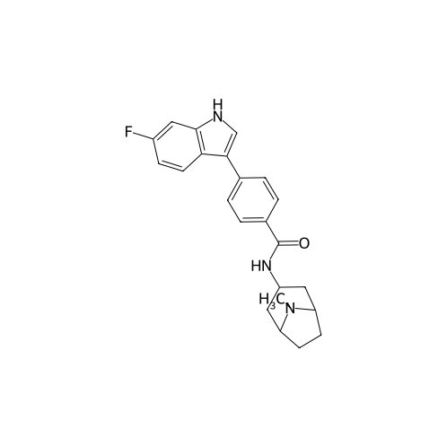 CN1C2CCC1CC(NC(=O)c1ccc(-c3c[nH]c4cc(F)ccc34)cc1)C2